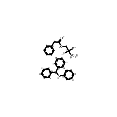 O=C(Cc1ccccc1)OCC(F)(F)S(=O)(=O)O.c1ccc(SC(c2ccccc2)c2ccccc2)cc1